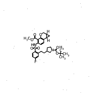 COC(=O)c1c(NS(=O)(=O)c2ccc(F)cc2CCC2CCN(C(=O)OC(C)(C)C)C2)ccc2c1OC[C@@H]1C[C@H]21